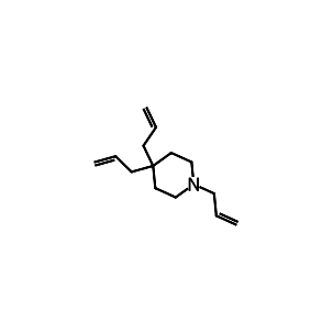 C=CCN1CCC(CC=C)(CC=C)CC1